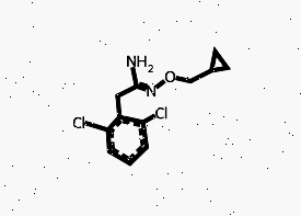 NC(Cc1c(Cl)cccc1Cl)=NOCC1CC1